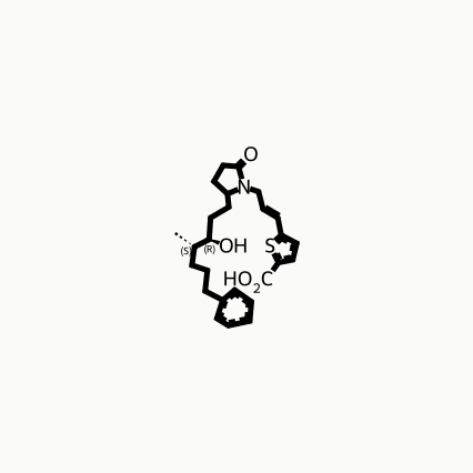 C[C@@H](CCCc1ccccc1)[C@H](O)CCC1CCC(=O)N1CC=Cc1ccc(C(=O)O)s1